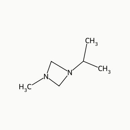 CC(C)N1CN(C)C1